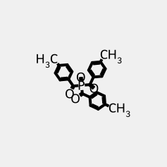 Cc1ccc(C(=O)P(=O)(C(=O)c2ccc(C)cc2)C(=O)c2ccc(C)cc2)cc1